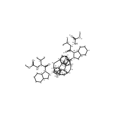 COC(=O)N[C@H](C(=O)N1C2CCCCC2C[C@H]1c1nc(-c2cc3ccc2CCc2ccc(c(-c4c[nH]c([C@@H]5CC6CCCCC6N5C(=O)[C@@H](NC(=O)OC)C(C)C)n4)c2)CC3)c[nH]1)C(C)C